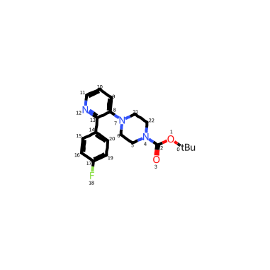 CC(C)(C)OC(=O)N1CCN(c2cccnc2-c2ccc(F)cc2)CC1